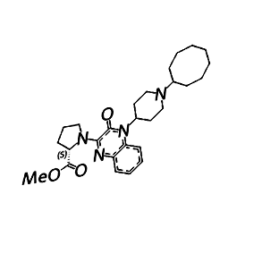 COC(=O)[C@@H]1CCCN1c1nc2ccccc2n(C2CCN(C3CCCCCCC3)CC2)c1=O